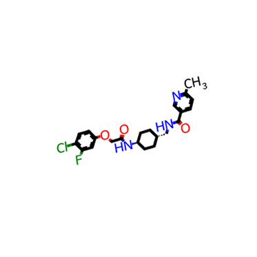 Cc1ccc(C(=O)NC[C@H]2CC[C@H](NC(=O)COc3ccc(Cl)c(F)c3)CC2)cn1